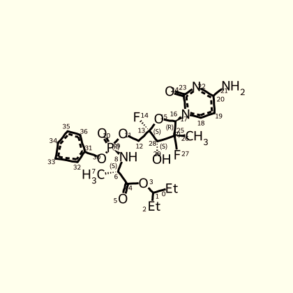 CCC(CC)OC(=O)[C@H](C)N[P@@](=O)(OC[C@@]1(F)O[C@@H](n2ccc(N)nc2=O)[C@](C)(F)[C@@H]1O)Oc1ccccc1